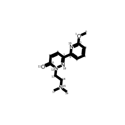 COc1cccc(-c2ccc(=O)n(CCN(C)C)n2)n1